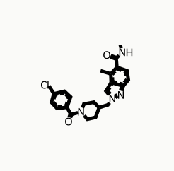 CNC(=O)c1ccc2nn(CC3CCN(C(=O)c4ccc(Cl)cc4)CC3)cc2c1C